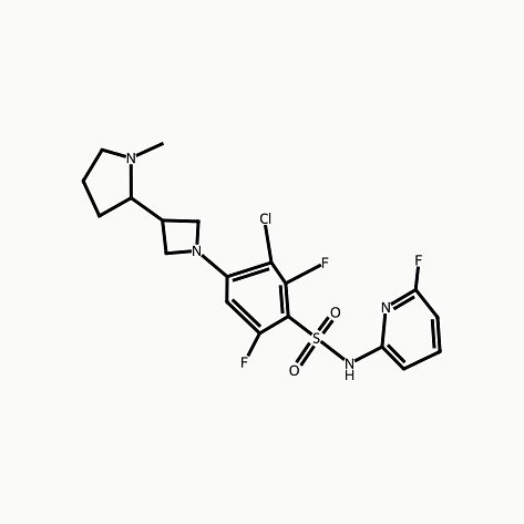 CN1CCCC1C1CN(c2cc(F)c(S(=O)(=O)Nc3cccc(F)n3)c(F)c2Cl)C1